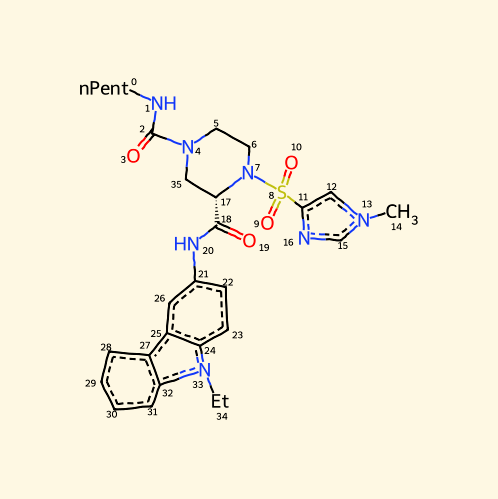 CCCCCNC(=O)N1CCN(S(=O)(=O)c2cn(C)cn2)[C@H](C(=O)Nc2ccc3c(c2)c2ccccc2n3CC)C1